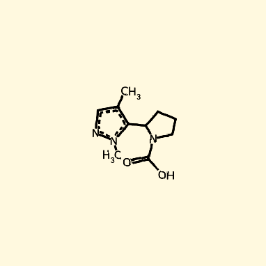 Cc1cnn(C)c1C1CCCN1C(=O)O